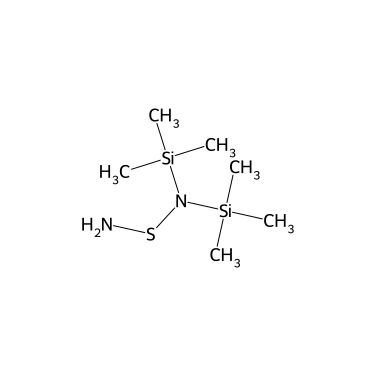 C[Si](C)(C)N(SN)[Si](C)(C)C